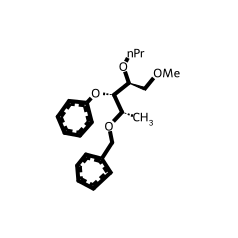 CCCO[C@@H](COC)[C@@H](Oc1ccccc1)[C@H](C)OCc1ccccc1